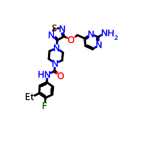 CCc1cc(NC(=O)N2CCN(c3nsnc3OCc3ccnc(N)n3)CC2)ccc1F